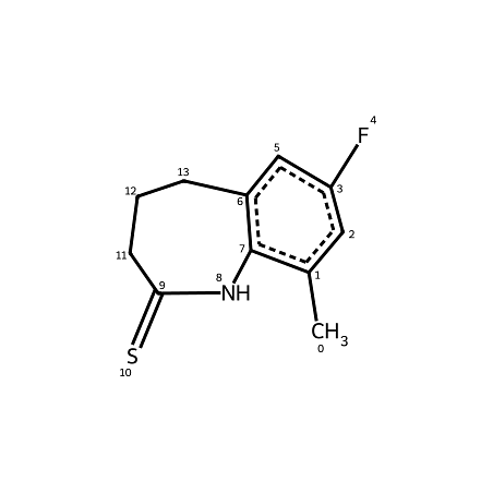 Cc1cc(F)cc2c1NC(=S)CCC2